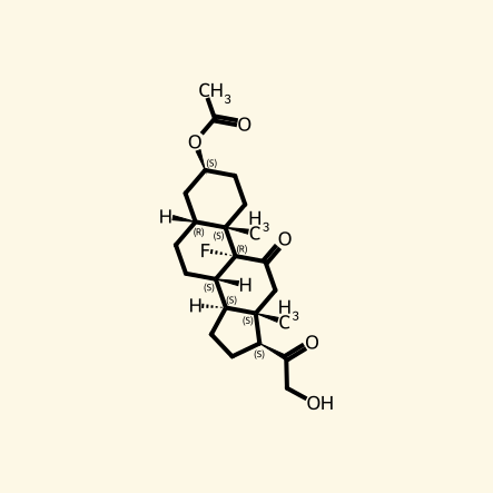 CC(=O)O[C@H]1CC[C@@]2(C)[C@H](CC[C@H]3[C@@H]4CC[C@H](C(=O)CO)[C@@]4(C)CC(=O)[C@@]32F)C1